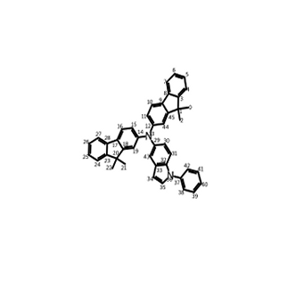 CC1(C)c2ccccc2-c2ccc(N(c3ccc4c(c3)C(C)(C)c3ccccc3-4)c3ccc4c(ccn4-c4ccccc4)c3)cc21